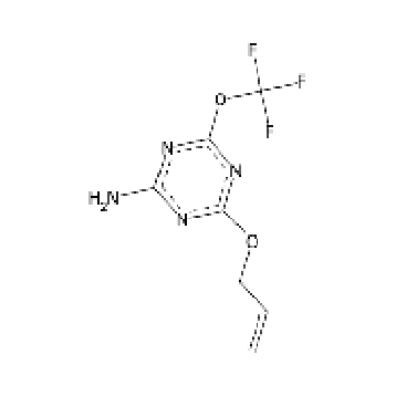 C=CCOc1nc(N)nc(OC(F)(F)F)n1